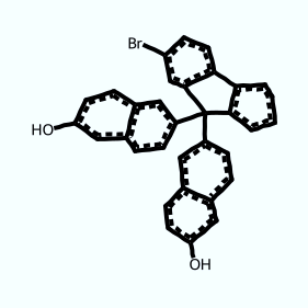 Oc1ccc2cc(C3(c4ccc5cc(O)ccc5c4)c4ccccc4-c4ccc(Br)cc43)ccc2c1